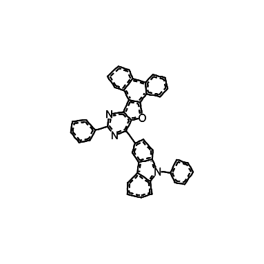 c1ccc(-c2nc(-c3ccc4c(c3)c3ccccc3n4-c3ccccc3)c3oc4c5ccccc5c5ccccc5c4c3n2)cc1